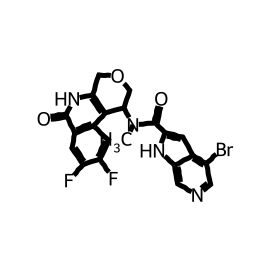 CN(C(=O)c1cc2c(Br)cncc2[nH]1)C1COCc2[nH]c(=O)c3cc(F)c(F)cc3c21